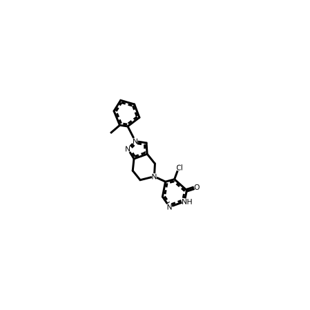 Cc1ccccc1-n1cc2c(n1)CCN(c1cn[nH]c(=O)c1Cl)C2